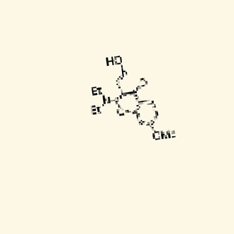 CCN(CC)c1oc2cc(OC)ccc2c(=O)c1C=NO